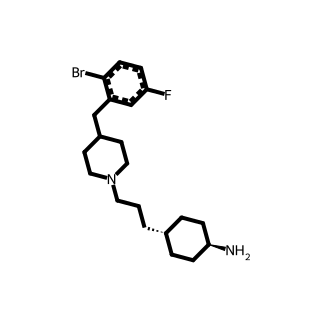 N[C@H]1CC[C@H](CCCN2CCC(Cc3cc(F)ccc3Br)CC2)CC1